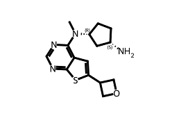 CN(c1ncnc2sc(C3COC3)cc12)[C@@H]1CC[C@H](N)C1